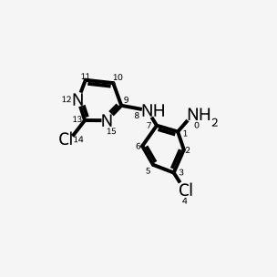 Nc1cc(Cl)ccc1Nc1ccnc(Cl)n1